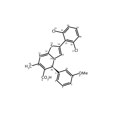 COc1cccc([C@H]2C(C(=O)O)=C(C)N=C3SC(c4c(Cl)cccc4Cl)=CN32)c1